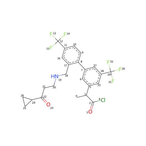 CC(C(=O)Cl)c1cc(-c2ccc(C(F)(F)F)cc2CNCCC(=O)C2CC2)cc(C(F)(F)F)c1